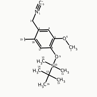 [C-]#[N+]Cc1cc(OC)c(O[Si](C)(C)C(C)(C)C)cc1I